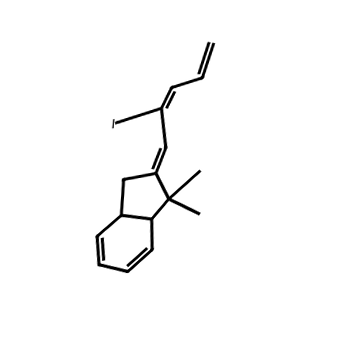 C=C/C=C(I)\C=C1/CC2C=CC=CC2C1(C)C